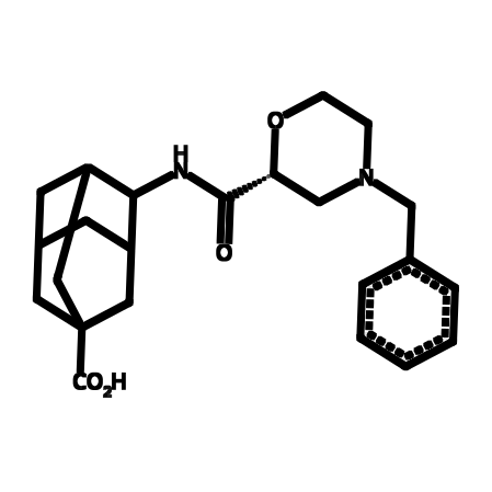 O=C(NC1C2CC3CC1CC(C(=O)O)(C3)C2)[C@H]1CN(Cc2ccccc2)CCO1